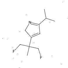 CC(C)C1=NCC(C(C)(CF)CF)=C1